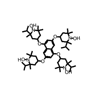 CC(C)C1(C)CC(Oc2cc(OC3CC(C)(C)N(O)C(C)(C(C)C)C3)c3cc(OC4CC(C)(C)N(O)C(C)(C(C)C)C4)cc(OC4CC(C)(C)N(O)C(C)(C(C)C)C4)c3c2)CC(C)(C)N1O